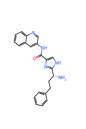 N[C@H](CCc1ccccc1)c1nc(C(=O)Nc2cnc3ccccc3c2)c[nH]1